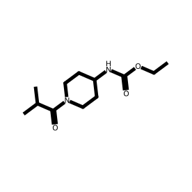 CCOC(=O)NC1CCN(C(=O)C(C)C)CC1